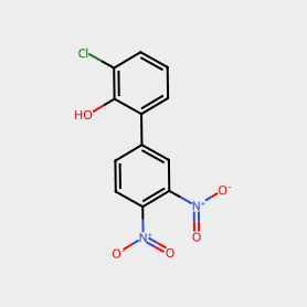 O=[N+]([O-])c1ccc(-c2cccc(Cl)c2O)cc1[N+](=O)[O-]